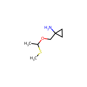 CSC(C)OCC1(N)CC1